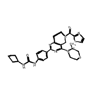 C[C@H]1COCCN1c1nc(-c2ccc(NC(=O)NC3CCC3)cc2)nc2c1CN(C(=O)c1nccs1)CC2